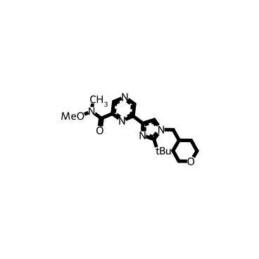 CON(C)C(=O)c1cncc(-c2cn(CC3CCOCC3)c(C(C)(C)C)n2)n1